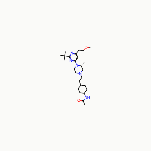 COCCc1cc(N2CCN(CCC3CCC(NC(C)=O)CC3)C[C@H]2C)nc(C(C)(C)C)n1